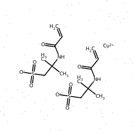 C=CC(=O)NC(C)(C)CS(=O)(=O)[O-].C=CC(=O)NC(C)(C)CS(=O)(=O)[O-].[Cu+2]